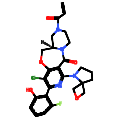 C=CC(=O)N1CCN2C(=O)c3c(N4CCCC45COC5)nc(-c4c(O)cccc4F)c(Cl)c3OC[C@H]2C1